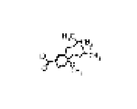 COC1(CCC(C)C)C=CC(C(=O)O)=CC1CCC(C)C